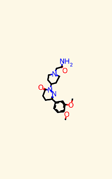 COc1ccc(C2=NN(C3CCN(CC(N)=O)CC3)C(=O)CC2)cc1OC